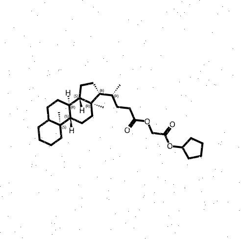 C[C@H](CCC(=O)OCC(=O)OC1CCCC1)[C@H]1CC[C@H]2[C@@H]3CCC4CCCC[C@]4(C)[C@H]3CC[C@]12C